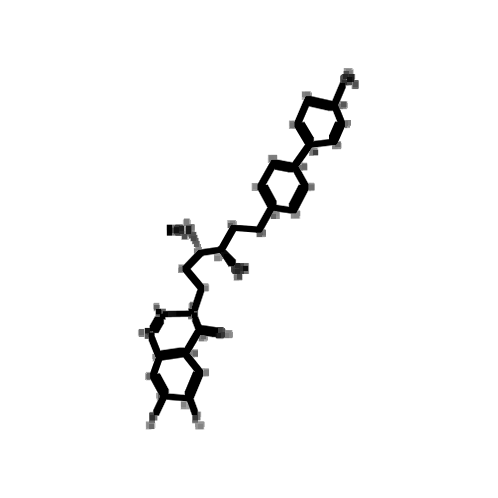 O=C(O)[C@@H](CCn1nnc2cc(F)c(F)cc2c1=O)[C@H](O)CCc1ccc(-c2ccc(C(F)(F)F)cc2)cc1